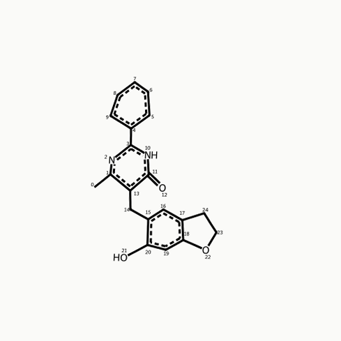 Cc1nc(-c2ccccc2)[nH]c(=O)c1Cc1cc2c(cc1O)OCC2